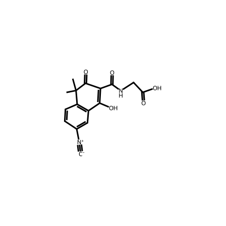 [C-]#[N+]c1ccc2c(c1)C(O)=C(C(=O)NCC(=O)O)C(=O)C2(C)C